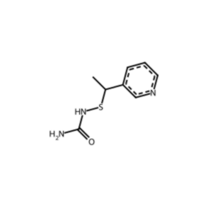 CC(SNC(N)=O)c1cccnc1